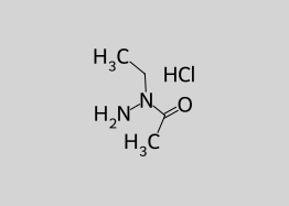 CCN(N)C(C)=O.Cl